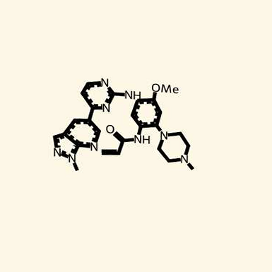 C=CC(=O)Nc1cc(Nc2nccc(-c3cnc4c(cnn4C)c3)n2)c(OC)cc1N1CCN(C)CC1